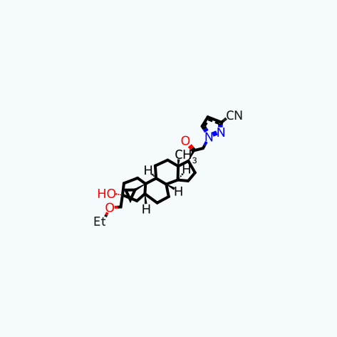 CCOC[C@@]1(O)CC[C@@]2(C3CC3)[C@H](CC[C@H]3[C@@H]4CC[C@H](C(=O)Cn5ccc(C#N)n5)[C@@]4(C)CC[C@@H]32)C1